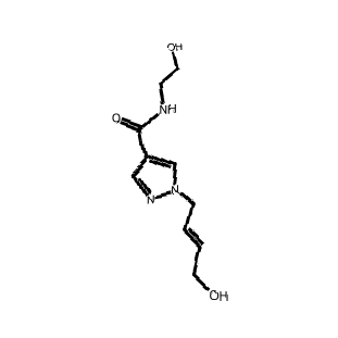 O=C(NCCO)c1cnn(CC=CCO)c1